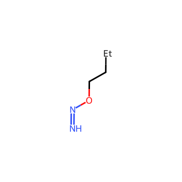 CCCCON=N